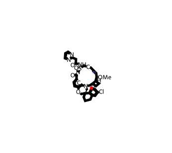 CO[C@H]1/C=C/CCC[S@@](=O)(NC(=O)Cc2ncccn2)=NC(=O)c2ccc3c(c2)N(C[C@@H]2CC[C@H]21)C[C@@]1(CCCc2cc(Cl)ccc21)CO3